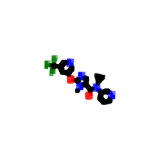 Cn1c(C(=O)N(c2cccnc2)C2CC2)cnc1Oc1cncc(C(F)(F)F)c1